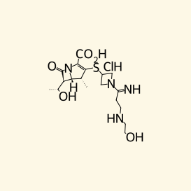 C[C@@H](O)[C@H]1C(=O)N2C(C(=O)O)=C(SC3CN(C(=N)CCNCCO)C3)[C@H](C)[C@H]12.Cl